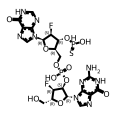 Nc1nc2c(ncn2[C@@H]2O[C@H](CO)[C@@H](F)[C@H]2OP(=O)(O)OC[C@H]2O[C@@H](n3cnc4c(=O)[nH]cnc43)[C@@H](F)[C@@H]2O[PH](O)=S)c(=O)[nH]1